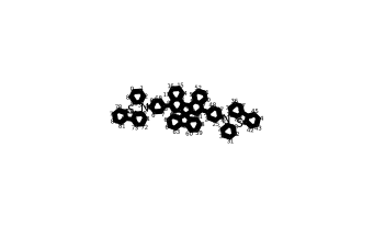 c1ccc(N(c2ccc(-c3cc4c(c5ccccc35)-c3c(cc(-c5ccc(N(c6ccccc6)c6cccc7c6sc6ccccc67)cc5)c5ccccc35)C43c4ccccc4-c4ccccc43)cc2)c2cccc3c2sc2ccccc23)cc1